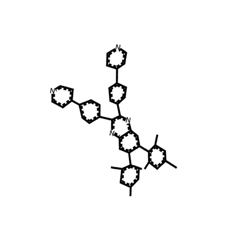 Cc1cc(C)c(-c2cc3nc(-c4ccc(-c5ccncc5)cc4)c(-c4ccc(-c5ccncc5)cc4)nc3cc2-c2c(C)cc(C)cc2C)c(C)c1